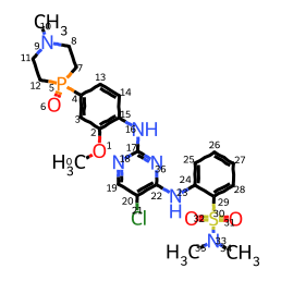 COc1cc(P2(=O)CCN(C)CC2)ccc1Nc1ncc(Cl)c(Nc2ccccc2S(=O)(=O)N(C)C)n1